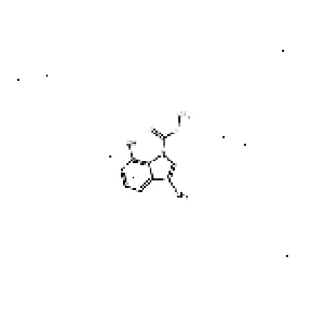 [CH2]c1cn(C(=O)OC)c2c(O)cccc12